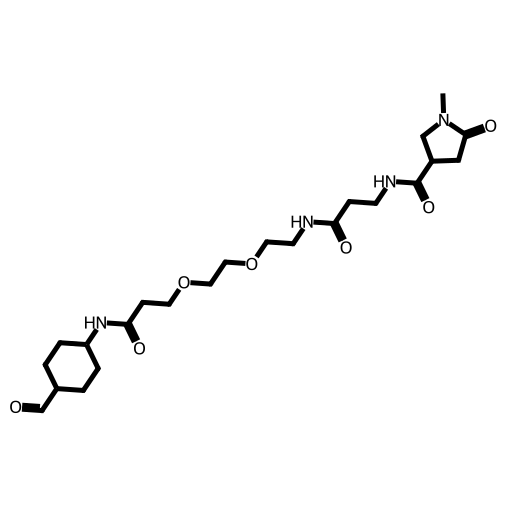 CN1CC(C(=O)NCCC(=O)NCCOCCOCCC(=O)NC2CCC(C=O)CC2)CC1=O